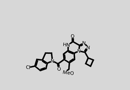 COCc1cc2c(cc1C(=O)N1CCc3cc(Cl)ccc31)[nH]c(=O)c1nnc(C3CCC3)n12